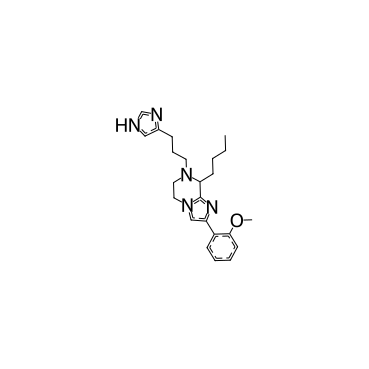 CCCCC1c2nc(-c3ccccc3OC)cn2CCN1CCCc1c[nH]cn1